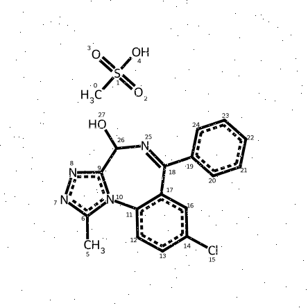 CS(=O)(=O)O.Cc1nnc2n1-c1ccc(Cl)cc1C(c1ccccc1)=NC2O